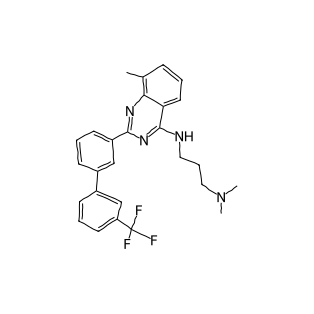 Cc1cccc2c(NCCCN(C)C)nc(-c3cccc(-c4cccc(C(F)(F)F)c4)c3)nc12